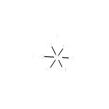 [Cl][Zr-2]([Cl])([Cl])([Cl])([Cl])[Cl].[K+].[K+]